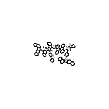 CC1(Cc2cccc3c2-c2ccccc2C32c3ccccc3-c3c(-c4nc5oc6ccccc6c5nc4-c4ccc(-n5c6c(c7ccc8ccccc8c75)=CC5CC=CC=C5C=6)cc4)cccc32)C2=C(NC(c3cc(-n4c5cc6ccccc6cc5c5c6ccccc6ccc54)c4ccccc4c3)C(c3ccc4c(c3)sc3ccccc34)=N2)c2ccccc21